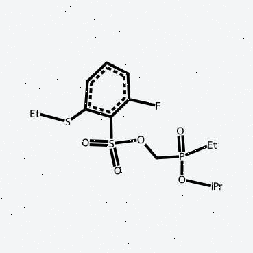 CCSc1cccc(F)c1S(=O)(=O)OCP(=O)(CC)OC(C)C